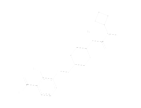 Cc1c(OCC2CCC([C@H](N)C(=O)N(C)C3CCC3)CC2)cccc1C(=O)O